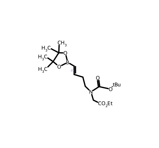 CCOC(=O)CN(CC/C=C/B1OC(C)(C)C(C)(C)O1)C(=O)OC(C)(C)C